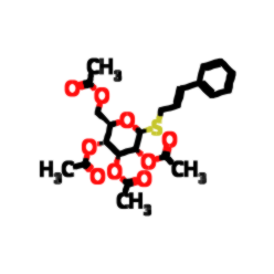 CC(=O)OC[C@H]1O[C@@H](SC/C=C/c2ccccc2)[C@@H](OC(C)=O)[C@@H](OC(C)=O)[C@@H]1OC(C)=O